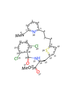 CNc1cccc(CCCc2ccc(C[C@H](NC(=O)c3c(Cl)cccc3Cl)C(=O)OC)s2)n1